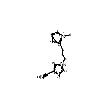 Cn1ccnc1CCCn1cnc(C#N)c1